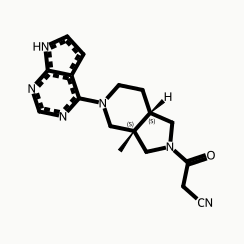 C[C@]12CN(C(=O)CC#N)C[C@H]1CCN(c1ncnc3[nH]ccc13)C2